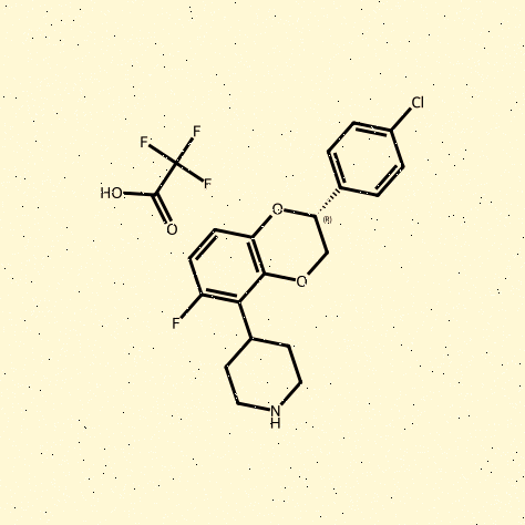 Fc1ccc2c(c1C1CCNCC1)OC[C@@H](c1ccc(Cl)cc1)O2.O=C(O)C(F)(F)F